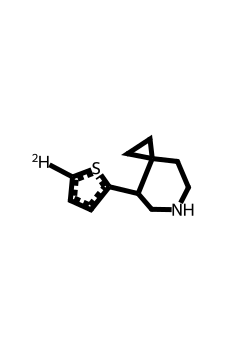 [2H]c1ccc(C2CNCCC23CC3)s1